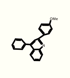 COc1ccc(-c2cc(-c3[c]cccc3)c3ccccc3n2)cc1